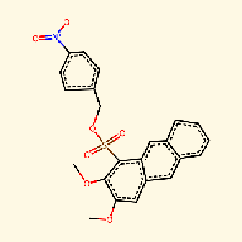 COc1cc2cc3ccccc3cc2c(S(=O)(=O)OCc2ccc([N+](=O)[O-])cc2)c1OC